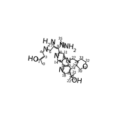 C/C(O)=C/C=N\C/C(N)=C(\c1cc2c(cn1)c1ncc(C(C)(C)O)cc1n2CC1CCOCC1)N(C)N